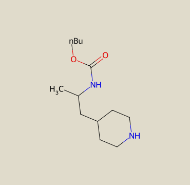 CCCCOC(=O)NC(C)CC1CCNCC1